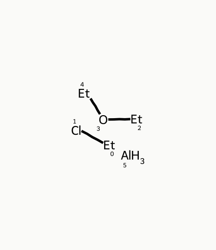 CCCl.CCOCC.[AlH3]